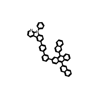 c1ccc(-n2c3ccc(-c4ccc(-c5cccc(-c6ccc7c(-c8ccc9ccccc9c8)c8ccccc8c(-c8ccc9ccccc9c8)c7c6)c5)cc4)cc3c3cccnc32)cc1